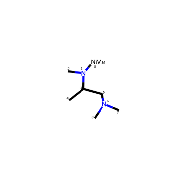 CNN(C)C(C)CN(C)C